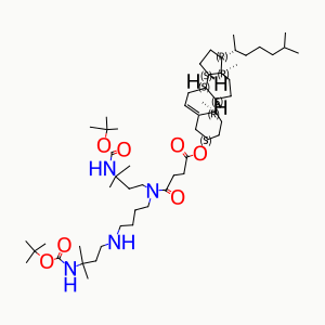 CC(C)CCCC(C)[C@H]1CC[C@H]2[C@@H]3CC=C4C[C@@H](OC(=O)CCC(=O)N(CCCCNCCC(C)(C)NC(=O)OC(C)(C)C)CCC(C)(C)NC(=O)OC(C)(C)C)CC[C@]4(C)[C@H]3CC[C@]12C